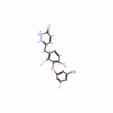 N#Cc1cc(F)cc(Oc2c(Cl)ccc(Cc3ccc(=O)[nH]n3)c2F)c1